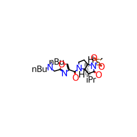 CCCCN(CCCC)Cc1nc(C(=O)N2CC[C@@H]3[C@@H]2[C@H](C(C)C)C(=O)N3S(C)(=O)=O)co1